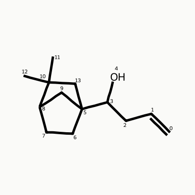 C=CCC(O)C12CCC(C1)C(C)(C)C2